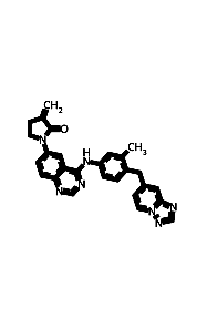 C=C1CCN(c2ccc3ncnc(Nc4ccc(Cc5ccn6ncnc6c5)c(C)c4)c3c2)C1=O